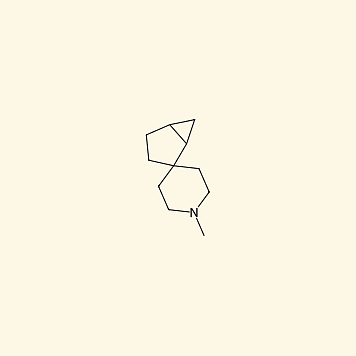 CN1CCC2(CCC3CC32)CC1